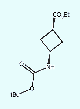 CCOC(=O)[C@H]1C[C@@H](NC(=O)OC(C)(C)C)C1